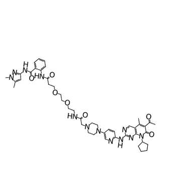 CC(=O)c1c(C)c2cnc(Nc3ccc(N4CCN(CC(=O)NCCOCCOCCC(=O)Nc5ccccc5C(=O)Nc5cc(C)n(C)n5)CC4)cn3)nc2n(C2CCCC2)c1=O